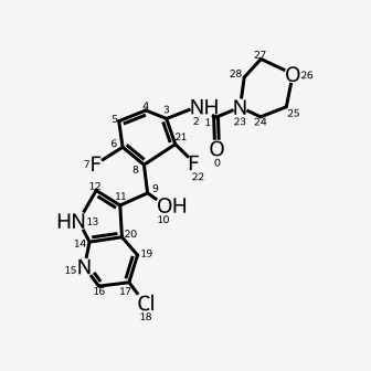 O=C(Nc1ccc(F)c(C(O)c2c[nH]c3ncc(Cl)cc23)c1F)N1CCOCC1